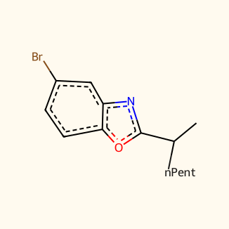 CCCCCC(C)c1nc2cc(Br)ccc2o1